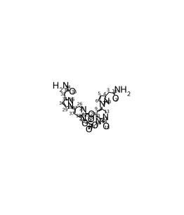 NC(=O)Cc1ccn(C2=CC3CN(C2)C(=O)N3OS(=O)(=O)ON2C(=O)N3CC(n4ccc(CC(N)=O)n4)=CC2C3)n1